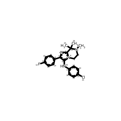 CN1CCn2c(nc(-c3ccc(F)cc3)c2Nc2ccc(Cl)cc2)C1(C)C